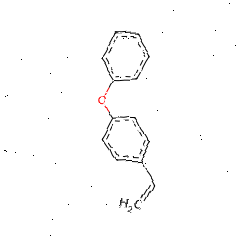 C=Cc1ccc(Oc2ccccc2)cc1